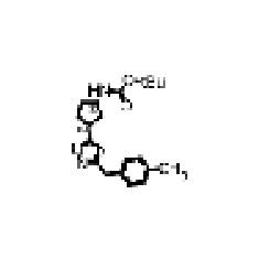 Cc1ccc(Cc2noc([C@H]3CC[C@H](NC(=O)OC(C)(C)C)C3)n2)cc1